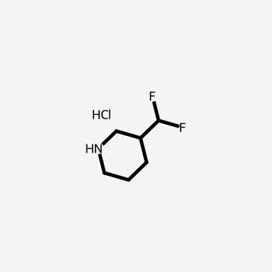 Cl.FC(F)C1CCCNC1